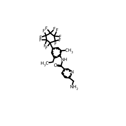 CCc1cc(C2(F)C(F)(F)C(F)(F)C(F)(F)C(F)(F)C2(F)F)cc(C)c1NC(=O)c1ccc(CN)nc1